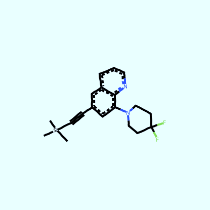 C[Si](C)(C)C#Cc1cc(N2CCC(F)(F)CC2)c2ncccc2c1